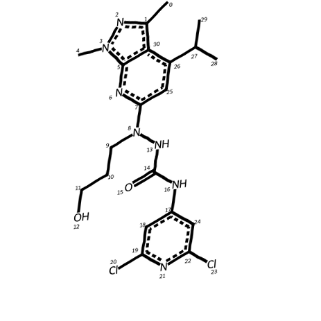 Cc1nn(C)c2nc(N(CCCO)NC(=O)Nc3cc(Cl)nc(Cl)c3)cc(C(C)C)c12